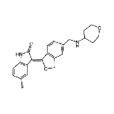 O=C1Nc2ccc(F)cc2C1=C1OCc2cc(CNC3CCOCC3)ccc21